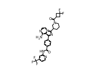 Nc1nccn2c(C3CCCN(C(=O)C4CC(F)(F)C4)C3)nc(-c3ccc(C(=O)Nc4cc(C(F)(F)F)ccn4)cc3)c12